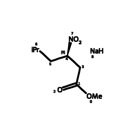 COC(=O)C[C@@H](CC(C)C)[N+](=O)[O-].[NaH]